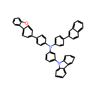 c1cc(N(c2ccc(-c3ccc4ccccc4c3)cc2)c2ccc(-c3ccc4c(c3)oc3ccccc34)cc2)cc(-n2c3ccccc3c3ccccc32)c1